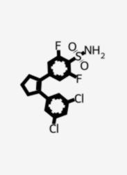 NS(=O)(=O)c1c(F)cc(C2=C(c3cc(Cl)cc(Cl)c3)CCC2)cc1F